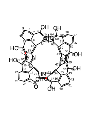 O=C(O)c1cccc(C(=O)O)c1-c1c2nc(c(-c3c(C(=O)O)cccc3C(=O)O)c3ccc([nH]3)c(-c3c(C(=O)O)cccc3C(=O)O)c3nc(c(-c4c(C(=O)O)cccc4C(=O)O)c4ccc1[nH]4)C=C3)C=C2